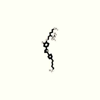 CCCCCCc1ccc(-c2ccc(-c3ccc(OCCC(CCCC)[SiH](C)C)c(F)c3)s2)cc1